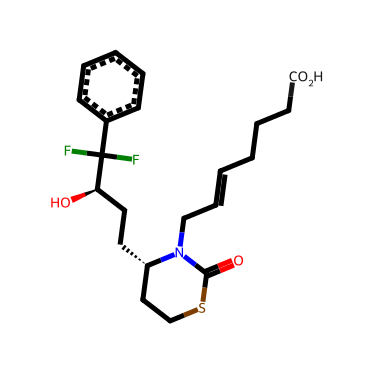 O=C(O)CCCC=CCN1C(=O)SCC[C@@H]1CC[C@@H](O)C(F)(F)c1ccccc1